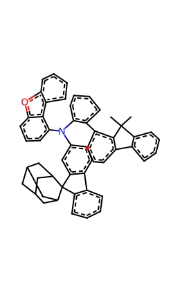 CC1(C)c2ccccc2-c2cccc(-c3ccccc3N(c3ccc4c(c3)C3(c5ccccc5-4)C4CC5CC(C4)CC3C5)c3cccc4oc5ccccc5c34)c21